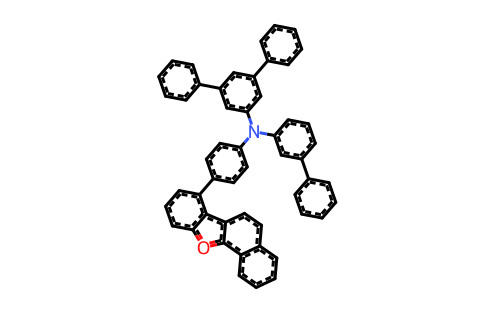 c1ccc(-c2cccc(N(c3ccc(-c4cccc5oc6c7ccccc7ccc6c45)cc3)c3cc(-c4ccccc4)cc(-c4ccccc4)c3)c2)cc1